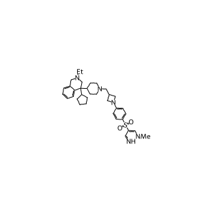 CCN1Cc2ccccc2C(C2CCCC2)(C2CCN(CC3CN(c4ccc(S(=O)(=O)/C(C=N)=C/NC)cc4)C3)CC2)C1